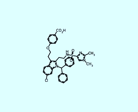 Cc1nc(S(=O)(=O)NCCc2c(CCOc3ccc(C(=O)O)cc3)c3ccc(Cl)cc3n2C(c2ccccc2)c2ccccc2)cn1C